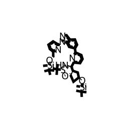 CC(C)(C)[S@@+]([O-])N[C@@H](c1cccc(-c2ccc3cnn(-c4cccc(CO[Si](C)(C)C(C)(C)C)n4)c3c2)n1)[C@@H]1CC[C@@H](O[Si](C)(C)C(C)(C)C)C1